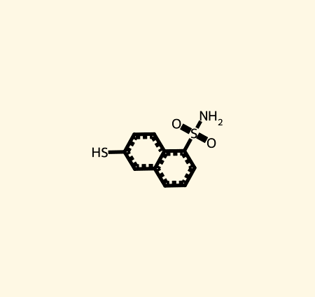 NS(=O)(=O)c1cccc2cc(S)ccc12